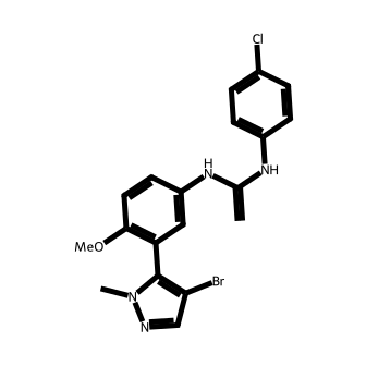 C=C(Nc1ccc(Cl)cc1)Nc1ccc(OC)c(-c2c(Br)cnn2C)c1